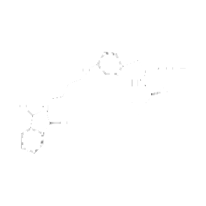 O=C(O)C(=O)N[C@H](Cc1ccc(OCCCCN2C(=O)c3ccccc3C2=O)cc1)C(=O)O